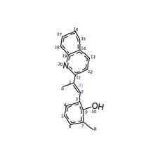 C/C(=C\c1cccc(C)c1O)c1ccc2ccccc2n1